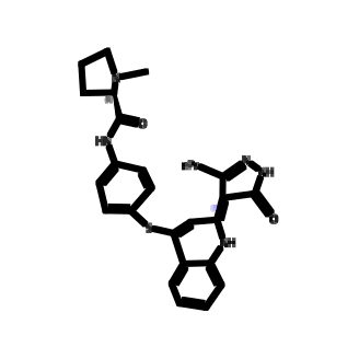 CCCC1=NNC(=O)/C1=C1/C=C(Sc2ccc(NC(=O)[C@H]3CCCN3C)cc2)c2ccccc2N1